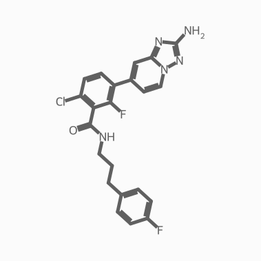 Nc1nc2cc(-c3ccc(Cl)c(C(=O)NCCCc4ccc(F)cc4)c3F)ccn2n1